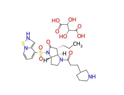 CCC[C@H]1C(=O)N(S(=O)(=O)C2=CC=CN3SNC=C23)[C@H]2CCN(C(=O)CCC3CCCNC3)[C@H]12.O=C(O)C(O)C(O)C(=O)O